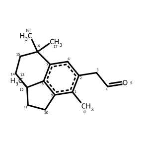 Cc1c(CC=O)cc2c3c1CCC3(C)CCC2(C)C